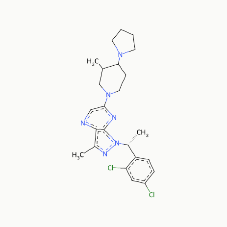 Cc1nn([C@H](C)c2ccc(Cl)cc2Cl)c2nc(N3CCC(N4CCCC4)C(C)C3)cnc12